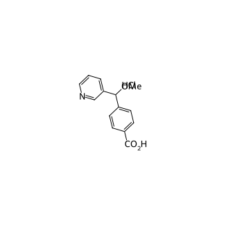 COC(c1ccc(C(=O)O)cc1)c1cccnc1.Cl